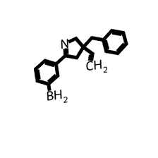 Bc1cccc(C2=NCC(C=C)(Cc3ccccc3)C2)c1